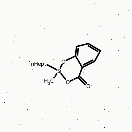 CCCCCCC[Si]1(C)OC(=O)c2ccccc2O1